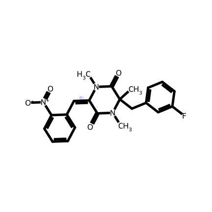 CN1C(=O)C(C)(Cc2cccc(F)c2)N(C)C(=O)/C1=C\c1ccccc1[N+](=O)[O-]